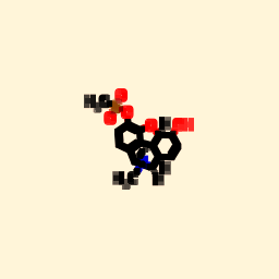 CN1CC[C@]23c4c5ccc(OS(C)(=O)=O)c4O[C@H]2[C@@H](O)C=C[C@H]3[C@H]1C5